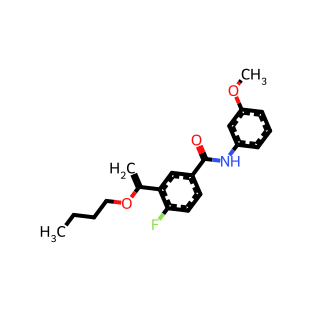 C=C(OCCCC)c1cc(C(=O)Nc2cccc(OC)c2)ccc1F